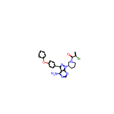 C=C(Br)C(=O)N1CCC[C@@H](n2nc(-c3ccc(Oc4ccccc4)cc3)c3c(N)ncnc32)C1